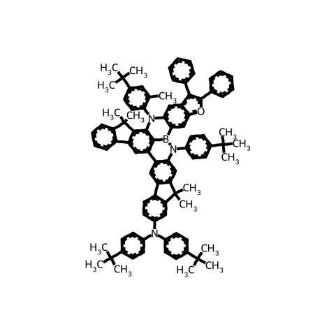 Cc1cc(C(C)(C)C)ccc1N1c2cc3c(-c4ccccc4)c(-c4ccccc4)oc3cc2B2c3c(cc4c(c31)C(C)(C)c1ccccc1-4)-c1cc3c(cc1N2c1ccc(C(C)(C)C)cc1)C(C)(C)c1cc(N(c2ccc(C(C)(C)C)cc2)c2ccc(C(C)(C)C)cc2)ccc1-3